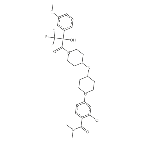 COc1cccc(C(O)(C(=O)N2CCC(SC3CCN(c4ccc(C(=O)N(C)C)c(Cl)c4)CC3)CC2)C(F)(F)F)c1